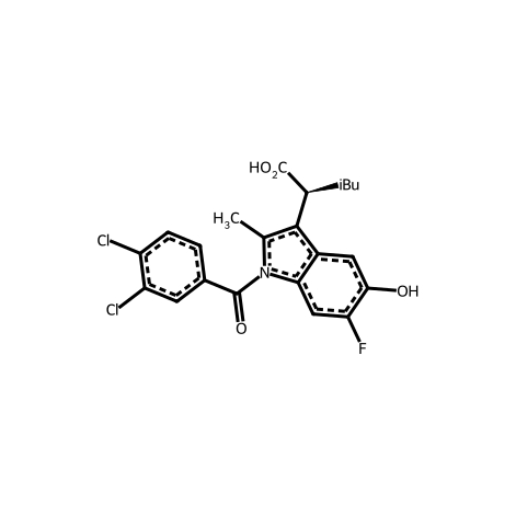 CCC(C)[C@H](C(=O)O)c1c(C)n(C(=O)c2ccc(Cl)c(Cl)c2)c2cc(F)c(O)cc12